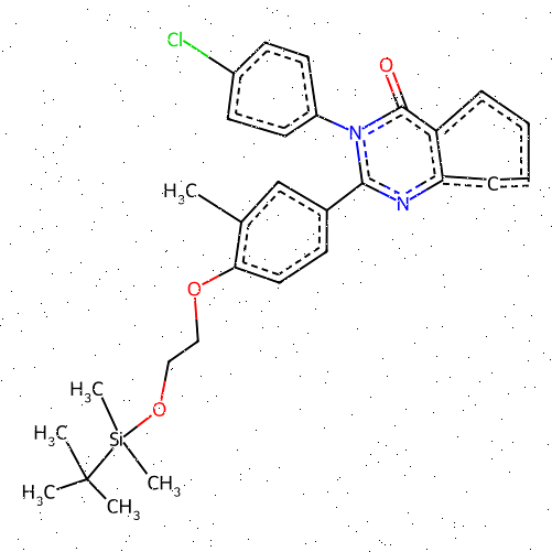 Cc1cc(-c2nc3ccccc3c(=O)n2-c2ccc(Cl)cc2)ccc1OCCO[Si](C)(C)C(C)(C)C